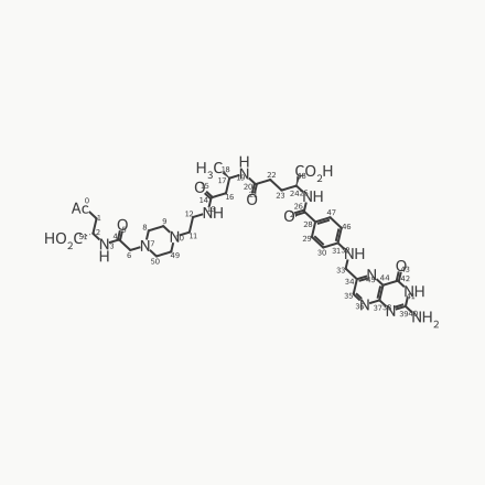 CC(=O)C[C@H](NC(=O)CN1CCN(CCNC(=O)C[C@@H](C)NC(=O)CC[C@H](NC(=O)c2ccc(NCc3cnc4nc(N)[nH]c(=O)c4n3)cc2)C(=O)O)CC1)C(=O)O